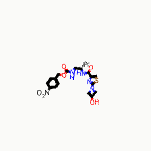 CC(C)[C@@H](CNC(=O)OCc1ccc([N+](=O)[O-])cc1)NC(=O)c1csc(N2CC(O)C2)n1